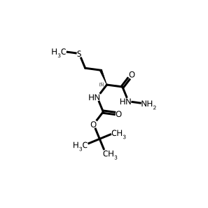 CSCC[C@H](NC(=O)OC(C)(C)C)C(=O)NN